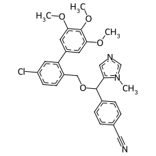 COc1cc(-c2cc(Cl)ccc2COC(c2ccc(C#N)cc2)c2cncn2C)cc(OC)c1OC